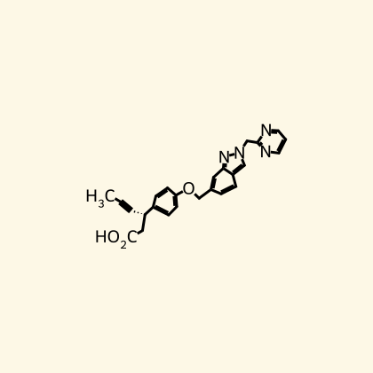 CC#C[C@@H](CC(=O)O)c1ccc(OCc2ccc3cn(Cc4ncccn4)nc3c2)cc1